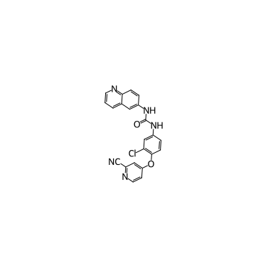 N#Cc1cc(Oc2ccc(NC(=O)Nc3ccc4ncccc4c3)cc2Cl)ccn1